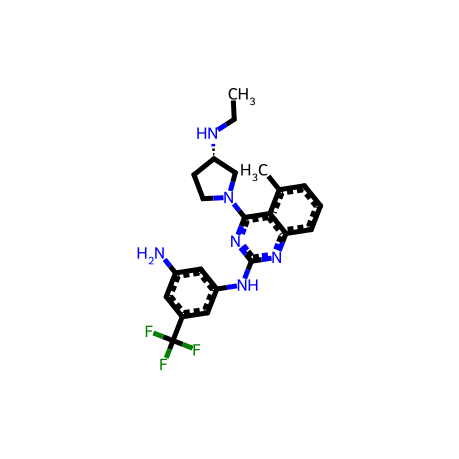 CCN[C@H]1CCN(c2nc(Nc3cc(N)cc(C(F)(F)F)c3)nc3cccc(C)c23)C1